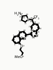 COCCOc1cccc2ccc(-c3nnc4ccc([C@@H](N5CC[C@H](N)C5)C(F)(F)F)cn34)nc12